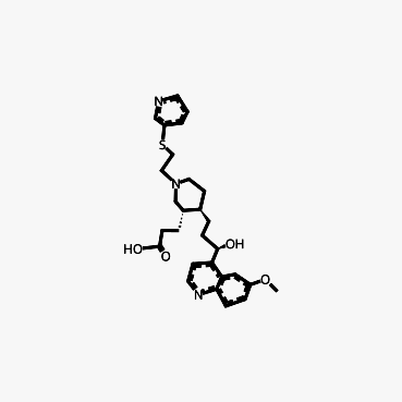 COc1ccc2nccc([C@H](O)CC[C@@H]3CCN(CCSc4cccnc4)C[C@H]3CCC(=O)O)c2c1